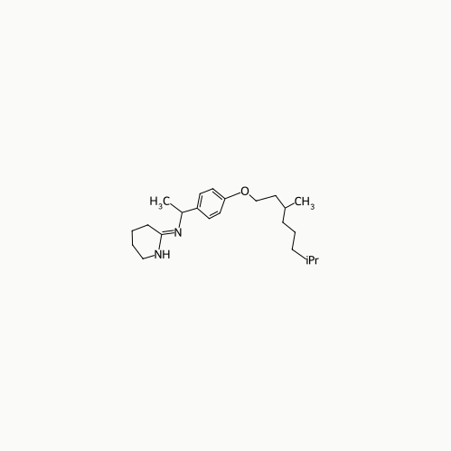 CC(C)CCCC(C)CCOc1ccc(C(C)N=C2CCCCN2)cc1